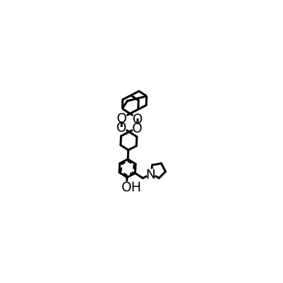 Oc1ccc(C2CCC3(CC2)OOC2(OO3)C3CC4CC(C3)CC2C4)cc1CN1CCCC1